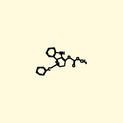 COC(=O)OC1=C2Nc3ccccc3C23CCN(Cc2ccccc2)C3CC1